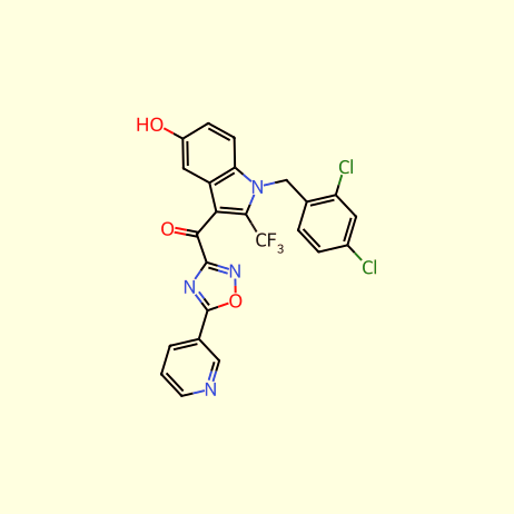 O=C(c1noc(-c2cccnc2)n1)c1c(C(F)(F)F)n(Cc2ccc(Cl)cc2Cl)c2ccc(O)cc12